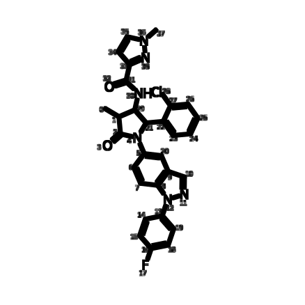 CC1C(=O)N(c2ccc3c(cnn3-c3ccc(F)cc3)c2)C(c2ccccc2Cl)C1NC(=O)c1ccn(C)n1